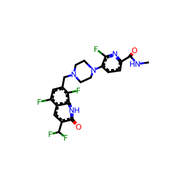 CNC(=O)c1ccc(N2CCN(Cc3cc(F)c4cc(C(F)F)c(=O)[nH]c4c3F)CC2)c(F)n1